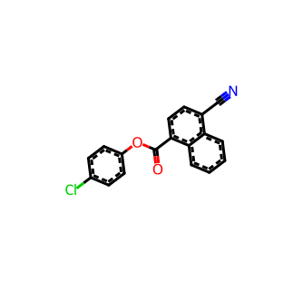 N#Cc1ccc(C(=O)Oc2ccc(Cl)cc2)c2ccccc12